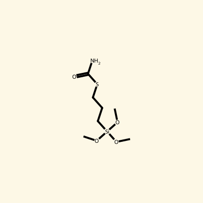 CO[Si](CCCSC(N)=O)(OC)OC